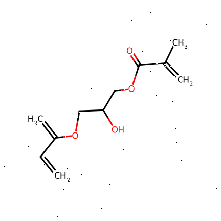 C=CC(=C)OCC(O)COC(=O)C(=C)C